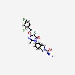 Cc1nc(OCc2ccc(F)cc2F)c(Cl)c(=O)n1-c1ccc2c(c1)CN(C(N)=O)C2